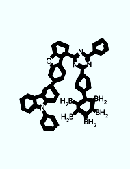 Bc1c(B)c(B)c(-c2ccc(-c3nc(-c4ccccc4)nc(-c4cccc5oc6cc(-c7ccc8c(c7)c7ccccc7n8-c7ccccc7)ccc6c45)n3)cc2)c(B)c1B